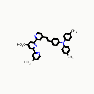 Cc1ccc(N(c2ccc(C)cc2)c2ccc(/C=C/c3ccnc(-c4cc(C(=O)O)cc(-c5cc(C(=O)O)ccn5)n4)c3)cc2)cc1